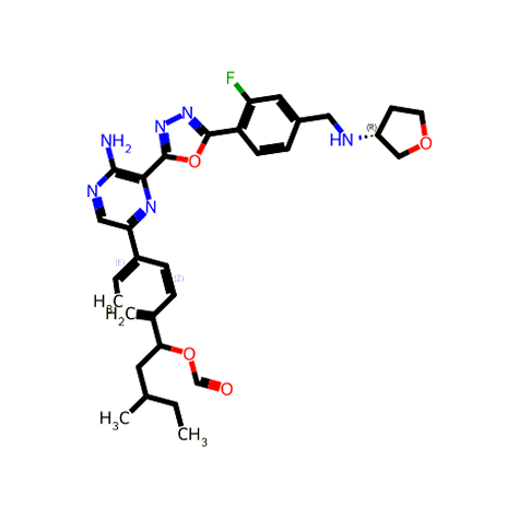 C=C(/C=C\C(=C/C)c1cnc(N)c(-c2nnc(-c3ccc(CN[C@@H]4CCOC4)cc3F)o2)n1)C(CC(C)CC)OC=O